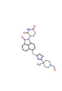 CC1(n2cc(Cc3ccc4c5c(cccc35)C(=O)N4C3CCC(=O)NC3=O)cn2)CCN(C=O)CC1